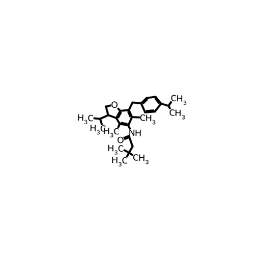 Cc1c(Cc2ccc(C(C)C)cc2)c2c(c(C)c1NC(=O)CC(C)(C)C)C(C(C)C)CO2